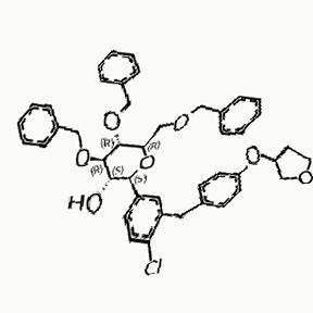 O[C@@H]1[C@@H](OCc2ccccc2)[C@H](OCc2ccccc2)[C@@H](COCc2ccccc2)O[C@H]1c1ccc(Cl)c(Cc2ccc(OC3CCOC3)cc2)c1